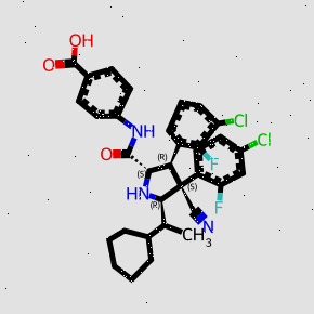 CC(C1CCCCC1)[C@H]1N[C@H](C(=O)Nc2ccc(C(=O)O)cc2)[C@@H](c2cccc(Cl)c2F)[C@]1(C#N)c1ccc(Cl)cc1F